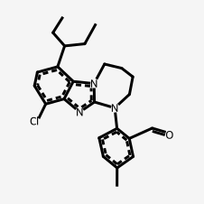 CCC(CC)c1ccc(Cl)c2nc3n(c12)CCCCN3c1ccc(C)cc1C=O